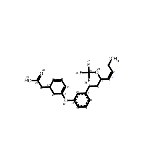 CC/C=C\C(CCc1cccc(OC2=CC=CC(CC(=O)O)C2)c1)OC(F)(F)F